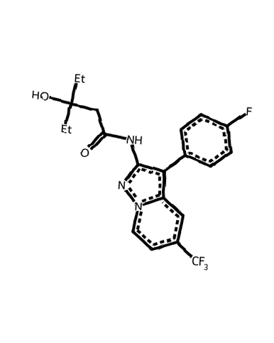 CCC(O)(CC)CC(=O)Nc1nn2ccc(C(F)(F)F)cc2c1-c1ccc(F)cc1